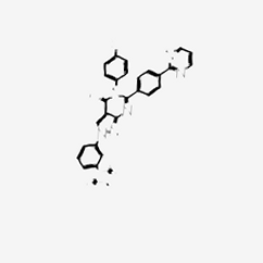 CS(=O)(=O)c1cccc(-n2cc3c(=O)n(-c4ccc(Cl)cc4)c(-c4ccc(-c5ncccn5)cc4)nc3n2)c1